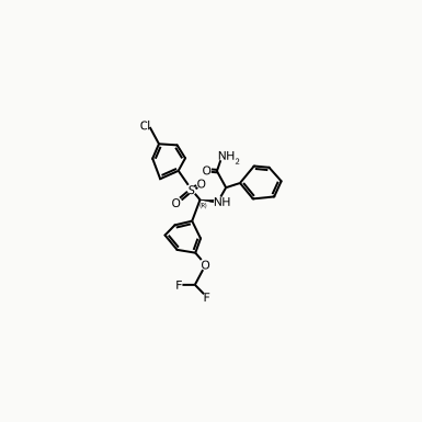 NC(=O)C(N[C@@H](c1cccc(OC(F)F)c1)S(=O)(=O)c1ccc(Cl)cc1)c1ccccc1